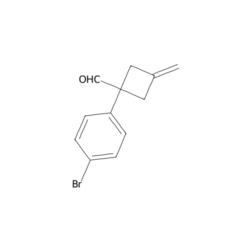 C=C1CC(C=O)(c2ccc(Br)cc2)C1